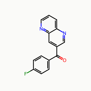 O=C(c1ccc(F)cc1)c1cnc2cccnc2c1